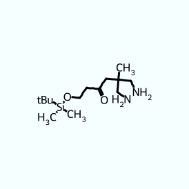 CC(CN)(CN)CC(=O)CCO[Si](C)(C)C(C)(C)C